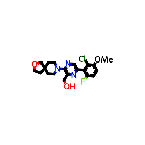 COc1ccc(F)c(-c2cnc(N3CCC4(CCOC4)CC3)c(CO)n2)c1Cl